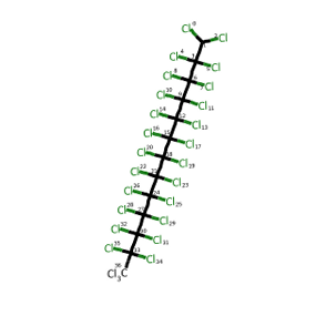 ClC(Cl)C(Cl)(Cl)C(Cl)(Cl)C(Cl)(Cl)C(Cl)(Cl)C(Cl)(Cl)C(Cl)(Cl)C(Cl)(Cl)C(Cl)(Cl)C(Cl)(Cl)C(Cl)(Cl)C(Cl)(Cl)C(Cl)(Cl)Cl